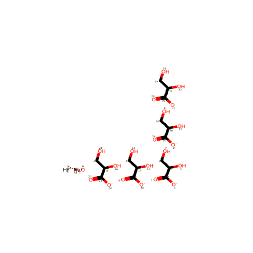 O.O=C([O-])C(O)CO.O=C([O-])C(O)CO.O=C([O-])C(O)CO.O=C([O-])C(O)CO.O=C([O-])C(O)CO.[Hf+4].[Na+]